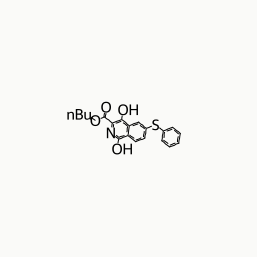 CCCCOC(=O)c1nc(O)c2ccc(Sc3ccccc3)cc2c1O